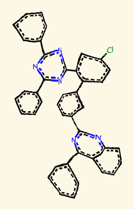 Clc1ccc(-c2cccc(-c3nc(-c4ccccc4)c4ccccc4n3)c2)c(-c2nc(-c3ccccc3)nc(-c3ccccc3)n2)c1